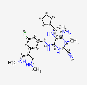 CN/C=C(\CNC)c1cc(F)cc(CNC2NC(C#N)N(C)C(N)=C2NC(C)C2CCCC2)c1